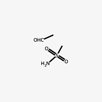 CC=O.CS(N)(=O)=O